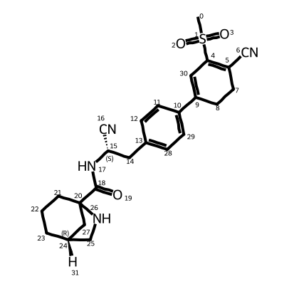 CS(=O)(=O)C1=C(C#N)CCC(c2ccc(C[C@@H](C#N)NC(=O)C34CCC[C@@H](CN3)C4)cc2)=C1